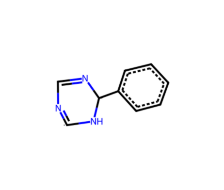 [C]1=NC=N[C](c2ccccc2)N1